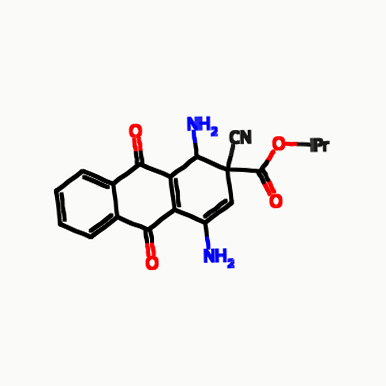 CC(C)OC(=O)C1(C#N)C=C(N)C2=C(C(=O)c3ccccc3C2=O)C1N